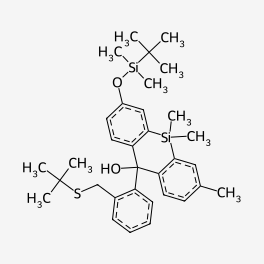 Cc1ccc2c(c1)[Si](C)(C)c1cc(O[Si](C)(C)C(C)(C)C)ccc1C2(O)c1ccccc1CSC(C)(C)C